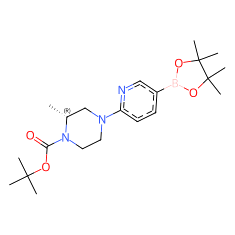 C[C@@H]1CN(c2ccc(B3OC(C)(C)C(C)(C)O3)cn2)CCN1C(=O)OC(C)(C)C